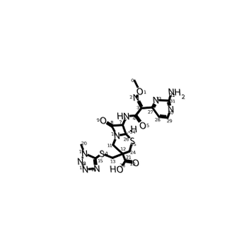 CON=C(C(=O)NC1C(=O)N2CC(CSc3nnnn3C)(C(=O)O)CS[C@H]12)c1ccnc(N)n1